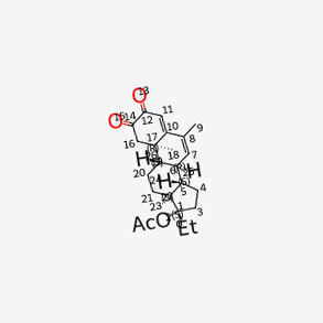 CC[C@]1(OC(C)=O)CC[C@H]2[C@@H]3C=C(C)C4=CC(=O)C(=O)C[C@]4(C)[C@H]3CC[C@@]21C